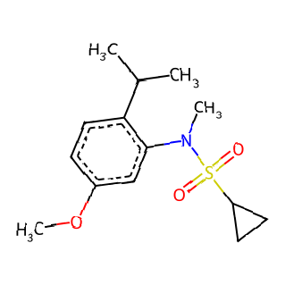 COc1ccc(C(C)C)c(N(C)S(=O)(=O)C2CC2)c1